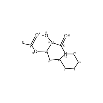 CC(=O)OC1CC2CCCCN2C(=O)N1O